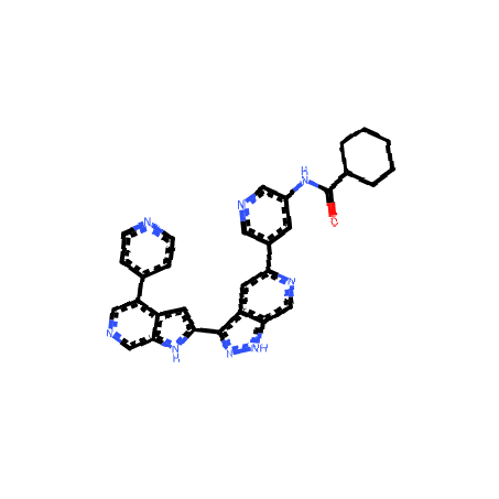 O=C(Nc1cncc(-c2cc3c(-c4cc5c(-c6ccncc6)cncc5[nH]4)n[nH]c3cn2)c1)C1CCCCC1